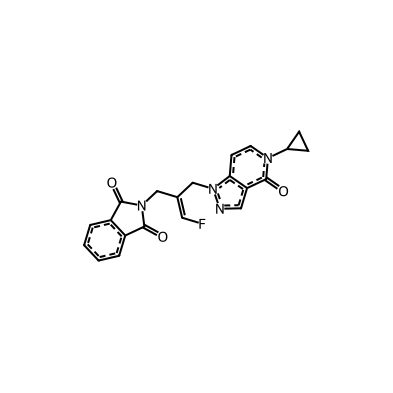 O=C1c2ccccc2C(=O)N1CC(=CF)Cn1ncc2c(=O)n(C3CC3)ccc21